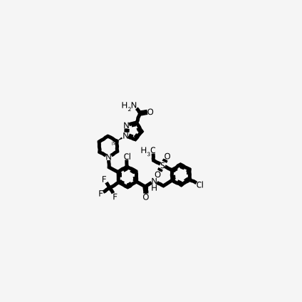 CCS(=O)(=O)c1ccc(Cl)cc1CNC(=O)c1cc(Cl)c(CN2CCC[C@H](n3ccc(C(N)=O)n3)C2)c(C(F)(F)F)c1